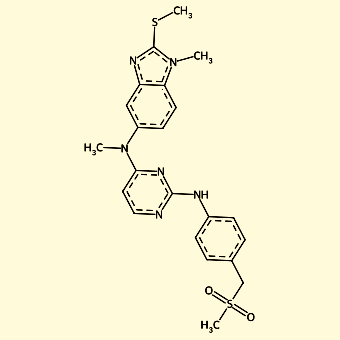 CSc1nc2cc(N(C)c3ccnc(Nc4ccc(CS(C)(=O)=O)cc4)n3)ccc2n1C